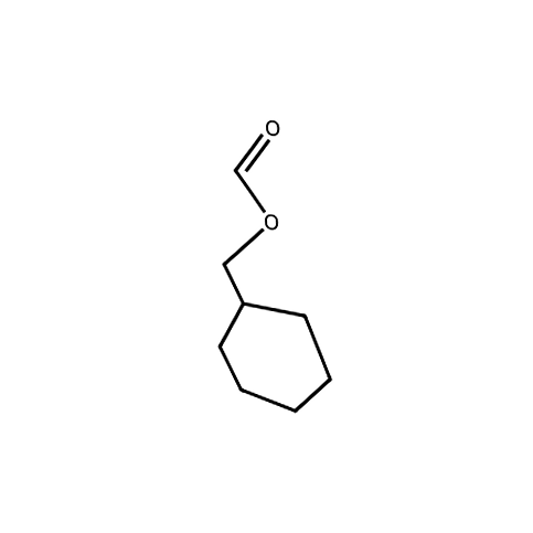 O=COCC1CCCCC1